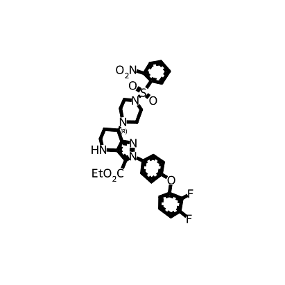 CCOC(=O)c1c2c(nn1-c1ccc(Oc3cccc(F)c3F)cc1)[C@H](N1CCN(S(=O)(=O)c3ccccc3[N+](=O)[O-])CC1)CCN2